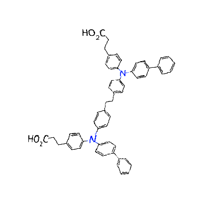 O=C(O)CCc1ccc(N(c2ccc(CCc3ccc(N(c4ccc(CCC(=O)O)cc4)c4ccc(-c5ccccc5)cc4)cc3)cc2)c2ccc(-c3ccccc3)cc2)cc1